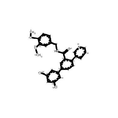 COc1ccc(CNC(=O)c2cc(-c3cc(Cl)cc(Cl)c3)ccc2-c2cccnc2)cc1OC